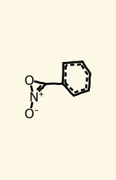 [O-][N+]1=C(c2ccccc2)O1